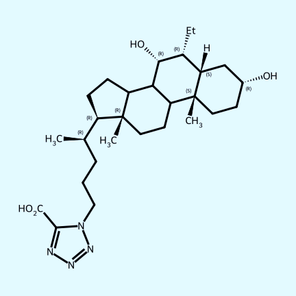 CC[C@H]1[C@@H](O)C2C3CC[C@H]([C@H](C)CCCn4nnnc4C(=O)O)[C@@]3(C)CCC2[C@@]2(C)CC[C@@H](O)C[C@@H]12